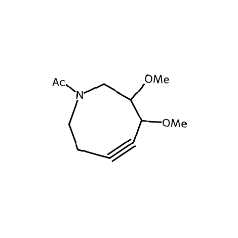 COC1C#CCCN(C(C)=O)CC1OC